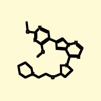 COc1ncc(-c2cc3c(N4CCC(OCCN5CCCCC5)C4)ncnn3c2)c(OC)n1